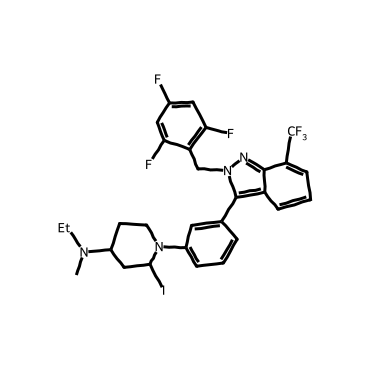 CCN(C)C1CCN(c2cccc(-c3c4cccc(C(F)(F)F)c4nn3Cc3c(F)cc(F)cc3F)c2)C(I)C1